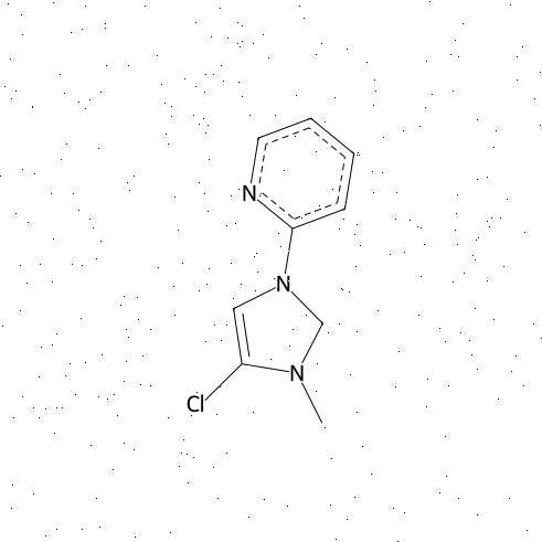 CN1CN(c2ccccn2)C=C1Cl